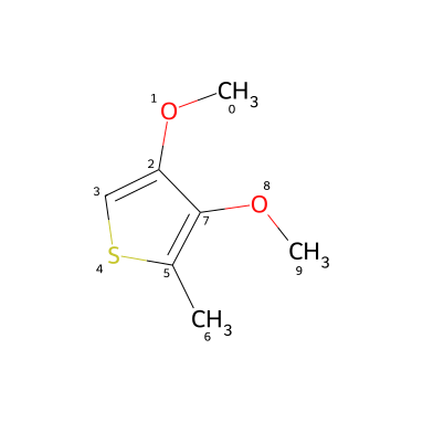 COc1csc(C)c1OC